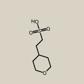 O=S(=O)(O)CCC1CCOCC1